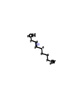 OC/C=C/CCCCBr